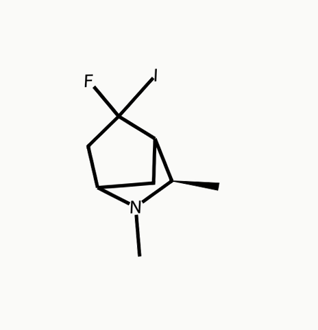 C[C@@H]1C2CC(CC2(F)I)N1C